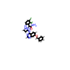 NC(=O)C(c1cccc(F)c1F)N1NCC=C1Nc1ncnc2cc(OCc3ccccc3)ccc12